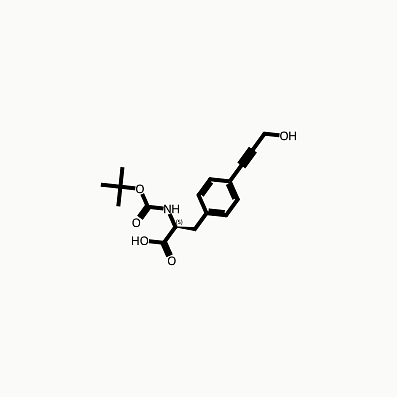 CC(C)(C)OC(=O)N[C@@H](Cc1ccc(C#CCO)cc1)C(=O)O